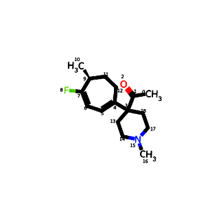 CC(=O)C1(C2=CC=C(F)[C@@H](C)CC2)CCN(C)CC1